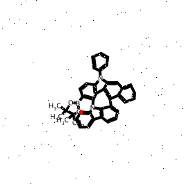 CC1(C)OB(c2ccc3c4c5c(c6ccccc6cc5n3-c3ccccc3)c3cccc5c6ccccc6n(c24)c53)OC1(C)C